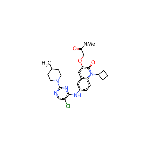 CNC(=O)COc1cc2cc(Nc3nc(N4CCC(C)CC4)ncc3Cl)ccc2n(C2CCC2)c1=O